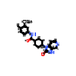 COc1cc(NC(=O)C2CCC(n3c(=O)[nH]c4cnccc43)CC2)ccc1C